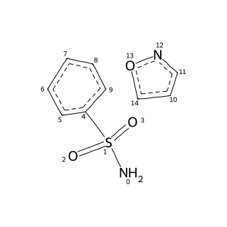 NS(=O)(=O)c1ccccc1.c1cnoc1